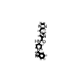 O=C(NC1CCN(c2snc3ccccc23)CC1)c1cn(Cc2cnccn2)cn1